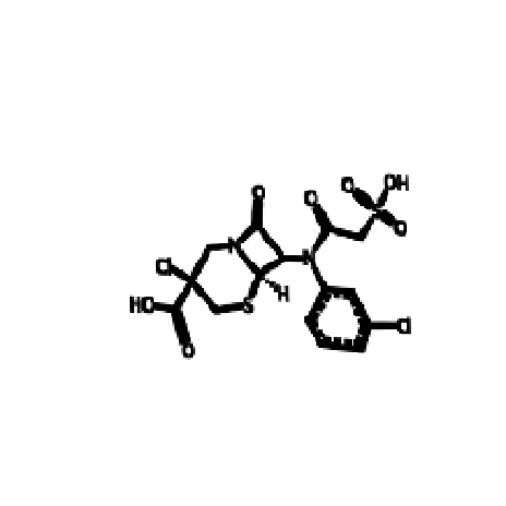 O=C(CS(=O)(=O)O)N(c1cccc(Cl)c1)C1C(=O)N2CC(Cl)(C(=O)O)CS[C@H]12